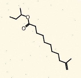 C=C(C)CCCCCCCCC(=O)OC(C)CC